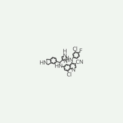 N#Cc1cnc2c(Cl)cc(NC(c3ccc4c(c3)CNC4)c3c[nH]nn3)cc2c1Nc1ccc(F)c(Cl)c1